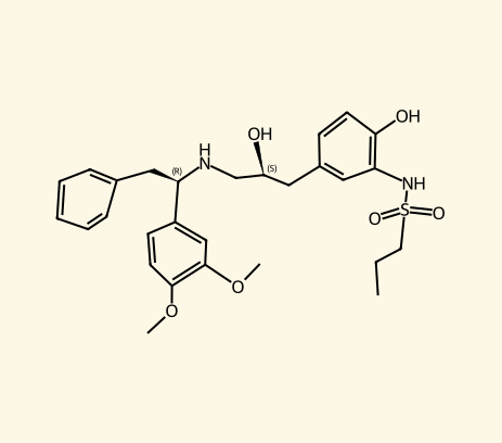 CCCS(=O)(=O)Nc1cc(C[C@H](O)CN[C@H](Cc2ccccc2)c2ccc(OC)c(OC)c2)ccc1O